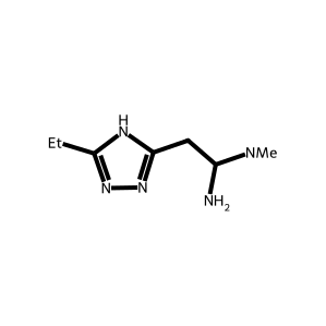 CCc1nnc(CC(N)NC)[nH]1